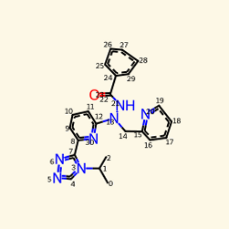 CC(C)n1cnnc1-c1cccc(N(Cc2ccccn2)NC(=O)c2ccccc2)n1